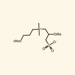 CCCCCCCCCCCC[N+](C)(C)CC(CS(=O)(=O)[O-])OC